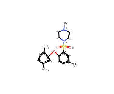 Cc1ccc(C)c(Oc2ccc([N+](=O)[O-])cc2S(=O)(=O)N2CCN(C(C)C)CC2)c1